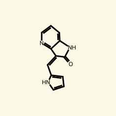 O=C1Nc2cccnc2C1=Cc1ccc[nH]1